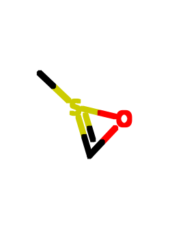 CS1=CO1